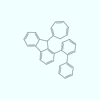 C1=CC=C(C2c3ccccc3-c3cccc(-c4ccccc4-c4ccccc4)c32)CC=C1